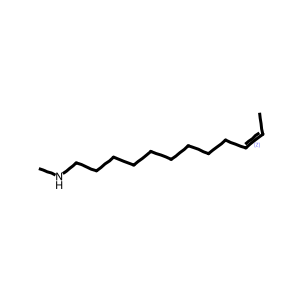 C/C=C\CCCCCCCCCNC